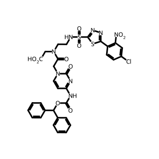 O=C(O)CN(CCNS(=O)(=O)c1nnc(-c2ccc(Cl)cc2[N+](=O)[O-])s1)C(=O)Cn1ccc(NC(=O)OC(c2ccccc2)c2ccccc2)nc1=O